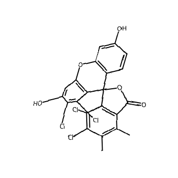 Cc1c(C)c2c(c(Cl)c1Cl)C1(OC2=O)c2ccc(O)cc2Oc2cc(O)c(Cl)c(Cl)c21